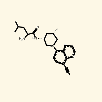 CC(C)CC(N)C(=O)N[C@@H]1C[C@H](C)CN(c2ccc(C#N)c3ncccc23)C1